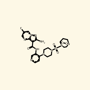 Nc1nn2cc(F)cnc2c1C(=O)Nc1cnccc1N1CCN(S(=O)(=O)N2CCN3CCC2CC3)CC1